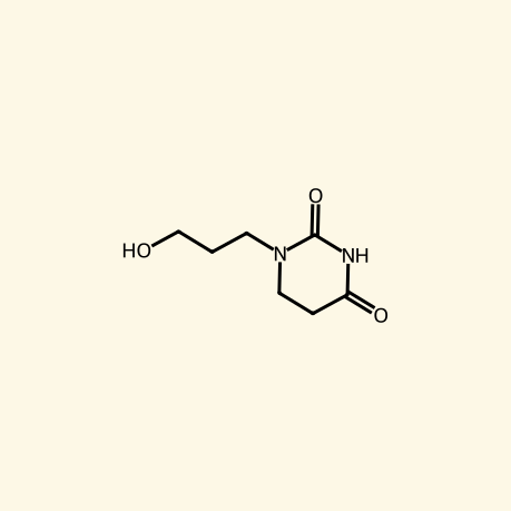 O=C1CCN(CCCO)C(=O)N1